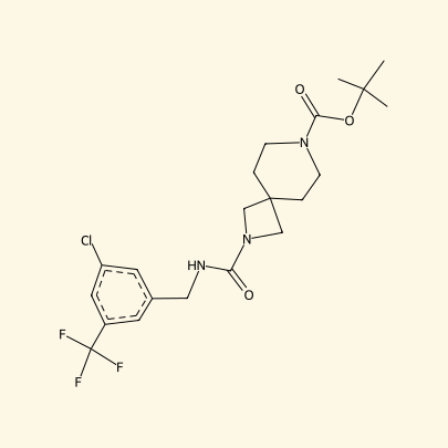 CC(C)(C)OC(=O)N1CCC2(CC1)CN(C(=O)NCc1cc(Cl)cc(C(F)(F)F)c1)C2